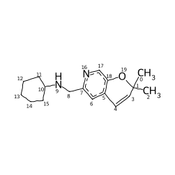 CC1(C)C=Cc2cc(CNC3CCCCC3)ncc2O1